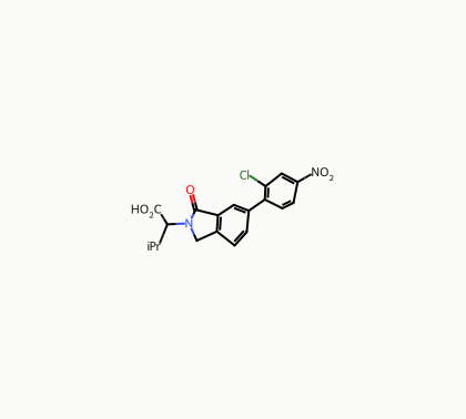 CC(C)C(C(=O)O)N1Cc2ccc(-c3ccc([N+](=O)[O-])cc3Cl)cc2C1=O